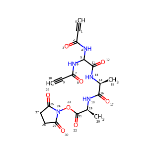 C#CC(=O)NC(NC(=O)C#C)C(=O)N[C@@H](C)C(=O)N[C@@H](C)C(=O)ON1C(=O)CCC1=O